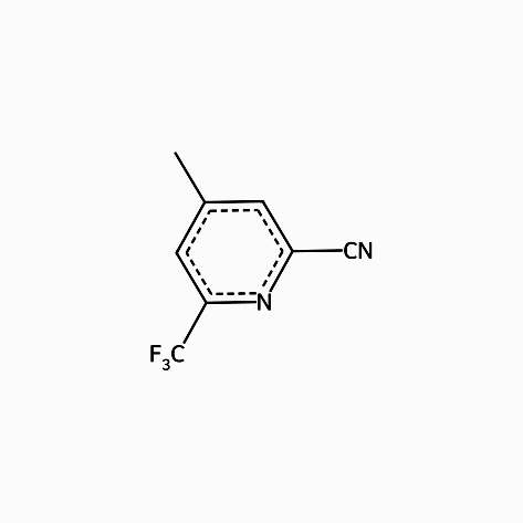 Cc1cc(C#N)nc(C(F)(F)F)c1